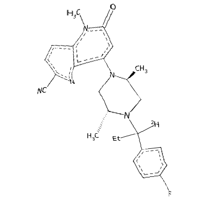 [2H]C(CC)(c1ccc(F)cc1)N1C[C@H](C)N(c2cc(=O)n(C)c3ccc(C#N)nc23)C[C@H]1C